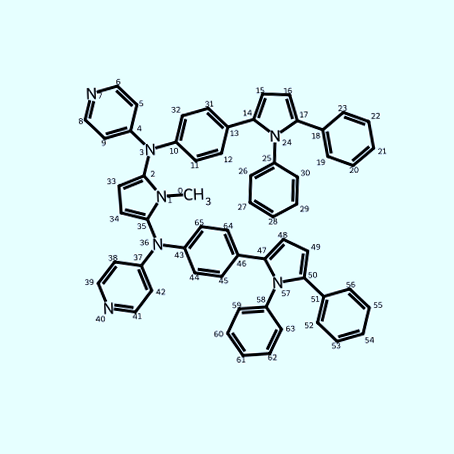 Cn1c(N(c2ccncc2)c2ccc(-c3ccc(-c4ccccc4)n3-c3ccccc3)cc2)ccc1N(c1ccncc1)c1ccc(-c2ccc(-c3ccccc3)n2-c2ccccc2)cc1